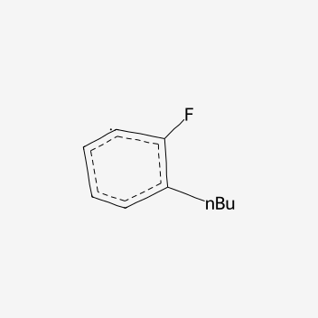 CCCCc1ccc[c]c1F